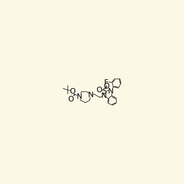 CC(C)(C)OC(=O)N1CCCN(CCN2c3ccccc3N(c3ccccc3F)S2(=O)=O)CC1